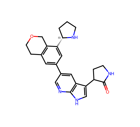 O=C1NCCC1c1c[nH]c2ncc(-c3cc4c(c([C@@H]5CCCN5)c3)COCC4)cc12